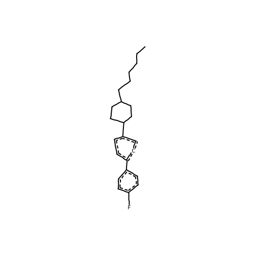 CCCCCCC1CCC(c2ccc(-c3ccc(F)cc3)cc2)CC1